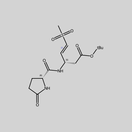 CC(C)(C)OC(=O)C[C@@H](/C=C/S(C)(=O)=O)NC(=O)[C@H]1CCC(=O)N1